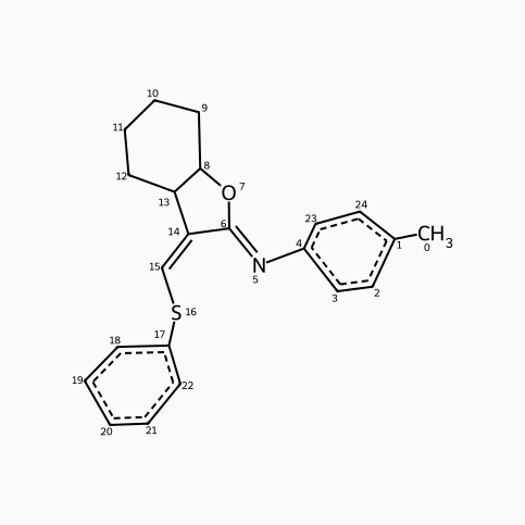 Cc1ccc(/N=C2\OC3CCCCC3\C2=C\Sc2ccccc2)cc1